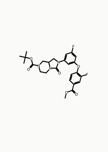 COC(=O)c1ccc(Oc2cc(F)cc(N3CC4CN(C(=O)OC(C)(C)C)CCN4C3=O)c2)c(F)c1